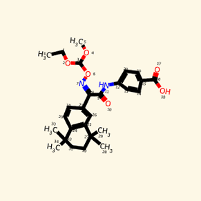 CCOC(OC)ON=C(C(=O)Nc1ccc(C(=O)O)cc1)c1ccc2c(c1)C(C)(C)CCC2(C)C